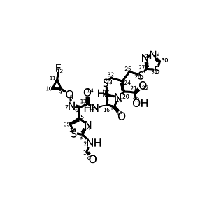 O=CNc1nc(/C(=N/OC2CC2F)C(=O)N[C@@H]2C(=O)N3C(C(=O)O)=C(CSc4nncs4)CS[C@H]23)cs1